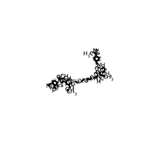 COC(=O)c1cc(N2C(=S)N(c3ccc(C#N)c(C(F)(F)F)c3F)C(=O)C2(C)C)cnc1OCCOCCOCCOCC(=O)N[C@H](C(=O)N1CCC[C@H]1C(=O)NCc1ccc(-c2scnc2C)cc1)C(C)(C)C